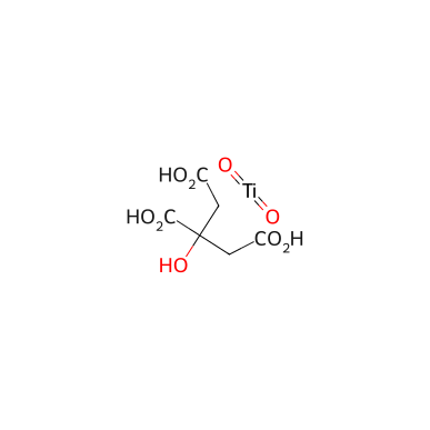 O=C(O)CC(O)(CC(=O)O)C(=O)O.[O]=[Ti]=[O]